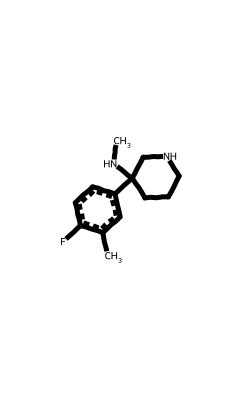 CNC1(c2ccc(F)c(C)c2)CCCNC1